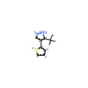 CC(C)(C)c1[nH]ncc1-c1cccs1